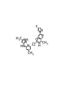 Cc1cc(Nc2cc(C)[nH]n2)nc([C@H]2C[C@H](C(=O)N[C@H](C)c3cnc(-n4cc(F)cn4)cn3)C2)c1